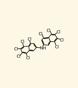 Clc1c(Cl)c(Cl)c2c(Cl)cc(Nc3cc(Cl)c4c(Cl)c(Cl)c(Cl)c(Cl)c4c3)cc2c1Cl